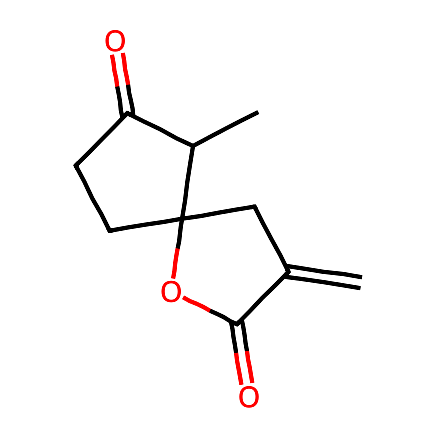 C=C1CC2(CCC(=O)C2C)OC1=O